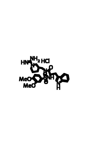 COc1ccc(S(=O)(=O)NC(Cc2c[nH]c3ccccc23)C(=O)NCC2CCCN(C(=N)N)C2)cc1OC.Cl